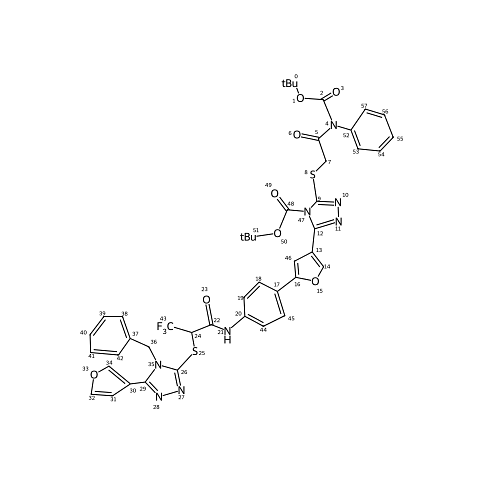 CC(C)(C)OC(=O)N(C(=O)CSc1nnc(-c2coc(-c3ccc(NC(=O)C(Sc4nnc(-c5ccoc5)n4Cc4ccccc4)C(F)(F)F)cc3)c2)n1C(=O)OC(C)(C)C)c1ccccc1